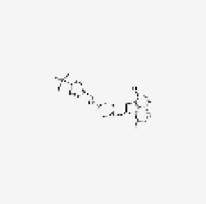 O=c1ccc2ncc(=O)n3c2n1CC3CN1CCC(NCc2ccc(C(F)(F)F)nc2)CC1